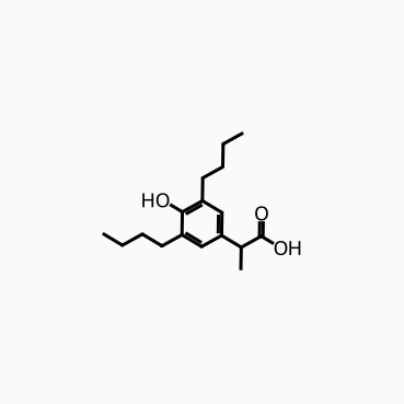 CCCCc1cc(C(C)C(=O)O)cc(CCCC)c1O